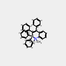 C[N+]1(C)c2ccccc2C(c2ccccc2)=C(c2ccccc2)[B-]1(c1ccccc1)c1ccccc1